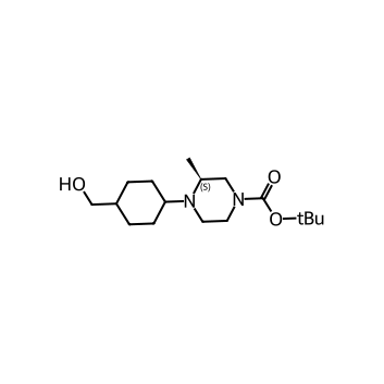 C[C@H]1CN(C(=O)OC(C)(C)C)CCN1C1CCC(CO)CC1